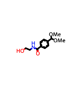 COC(OC)c1ccc(C(=O)NCCO)cc1